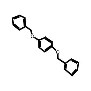 [c]1cc(OCc2ccccc2)ccc1OCc1ccccc1